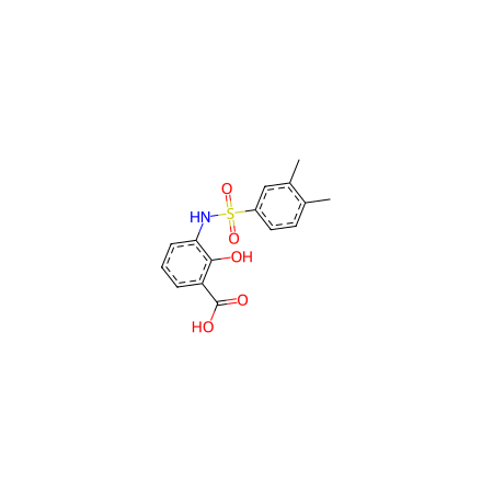 Cc1ccc(S(=O)(=O)Nc2cccc(C(=O)O)c2O)cc1C